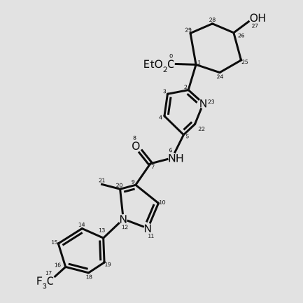 CCOC(=O)C1(c2ccc(NC(=O)c3cnn(-c4ccc(C(F)(F)F)cc4)c3C)cn2)CCC(O)CC1